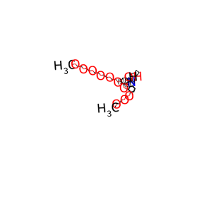 COCCOCCOCCOCCOCCO[C@H]1CC[C@@]2(O)[C@H]3Cc4ccc(OCOCCOC)c5c4[C@@]2(CCN3CC2CCC2)C1O5